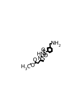 CCOC(=O)Cc1csc(NS(=O)(=O)c2cccc(CN)c2)n1